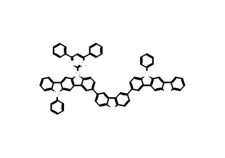 c1ccc(-c2cc(-c3ccccc3)nc(-n3c4ccc(-c5ccc6sc7ccc(-c8ccc9c(c8)c8cc%10oc%11ccccc%11c%10cc8n9-c8ccccc8)cc7c6c5)cc4c4cc5c(cc43)c3ccccc3n5-c3ccccc3)n2)cc1